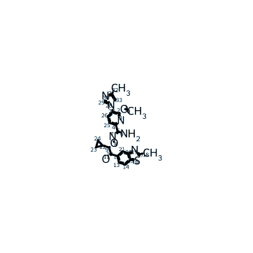 COc1nc(/C(N)=N/OC(C(=O)c2ccc3sc(C)nc3c2)C2CC2)ccc1-n1cnc(C)c1